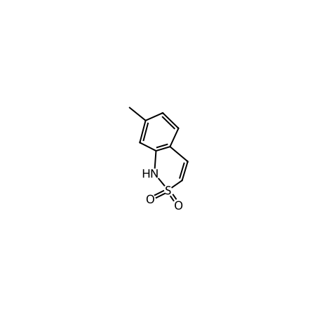 Cc1ccc2c(c1)NS(=O)(=O)C=C2